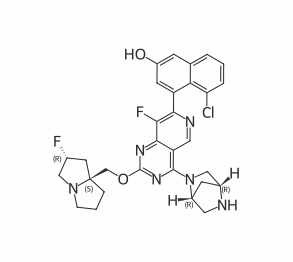 Oc1cc(-c2ncc3c(N4C[C@H]5C[C@@H]4CN5)nc(OC[C@@]45CCCN4C[C@H](F)C5)nc3c2F)c2c(Cl)cccc2c1